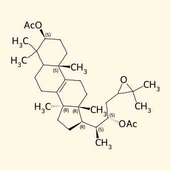 CC(=O)O[C@@H](CC1OC1(C)C)[C@@H](C)[C@H]1CC[C@@]2(C)C3=C(CC[C@]12C)[C@@]1(C)CC[C@H](OC(C)=O)C(C)(C)C1CC3